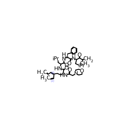 C=C/C=C(\C=C/C)CC[C@H](NC(=O)CN1CCOCC1)C(=O)NC(CC(C)C)C(=O)N[C@@H](Cc1ccccc1)C(=O)NC(CC(C)C)C(=O)C(=C)C